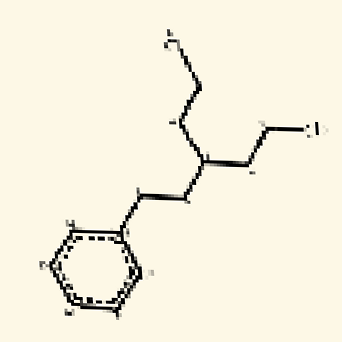 ClCC[C](CCCl)CCc1ccccc1